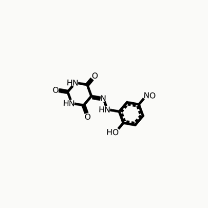 O=Nc1ccc(O)c(NN=C2C(=O)NC(=O)NC2=O)c1